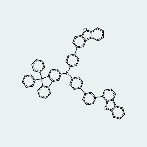 c1ccc(C2(c3ccccc3)c3ccccc3-c3cc(N(c4ccc(-c5cccc(-c6cccc7c6sc6ccccc67)c5)cc4)c4ccc(-c5ccc6oc7ccccc7c6c5)cc4)ccc32)cc1